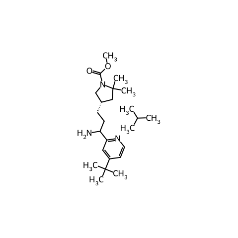 CC(C)C.COC(=O)N1C[C@@H](CCC(N)c2cc(C(C)(C)C)ccn2)CC1(C)C